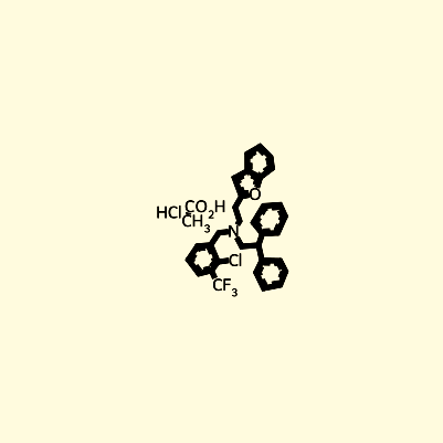 CC(=O)O.Cl.FC(F)(F)c1cccc(CN(CCc2cc3ccccc3o2)CC(c2ccccc2)c2ccccc2)c1Cl